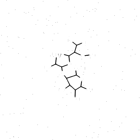 CCC(C)OC(C(C)O)C(OC(OC1C(C(=O)O)OC(C(C)CC)C(O)C1O)C(C)O)C(=O)O